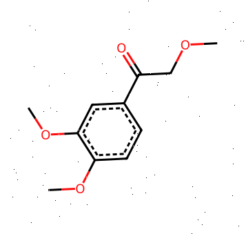 COCC(=O)c1ccc(OC)c(OC)c1